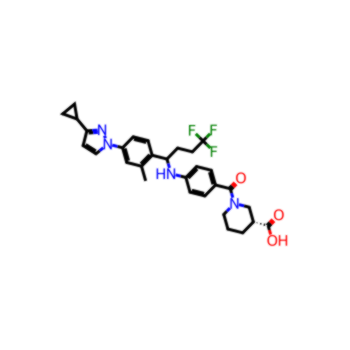 Cc1cc(-n2ccc(C3CC3)n2)ccc1C(CCC(F)(F)F)Nc1ccc(C(=O)N2CCC[C@@H](C(=O)O)C2)cc1